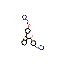 O=C(c1ccc(CN2CCCC2)cc1)c1c(-c2ccc(OCCN3CCCC3)cc2)sc2ccccc12